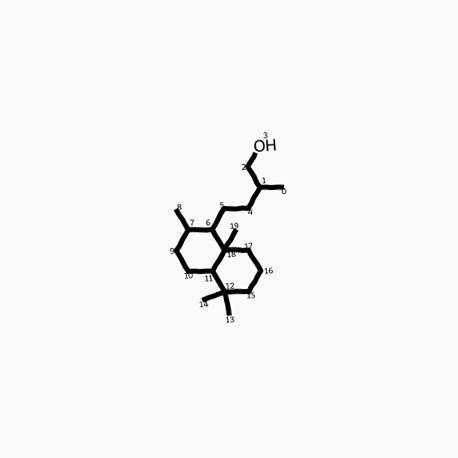 CC(CO)CCC1C(C)CCC2C(C)(C)CCCC12C